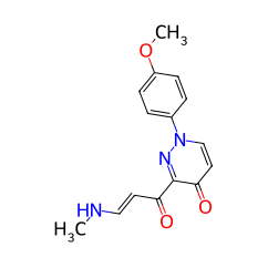 CNC=CC(=O)c1nn(-c2ccc(OC)cc2)ccc1=O